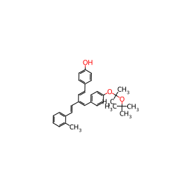 Cc1ccccc1C=CC(C=Cc1ccc(O)cc1)=Cc1ccc(OC(C)(C)OC(C)(C)C)cc1